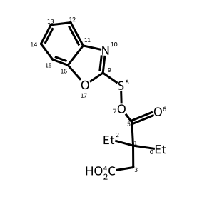 CCC(CC)(CC(=O)O)C(=O)OSc1nc2ccccc2o1